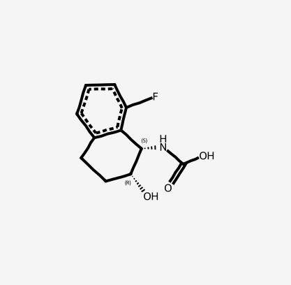 O=C(O)N[C@H]1c2c(F)cccc2CC[C@H]1O